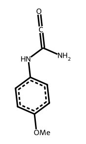 COc1ccc(NC(N)=C=O)cc1